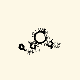 CO[C@]1(C)C[C@H](O[C@H]2[C@H](C)[C@@H](O[C@@H]3O[C@H](C)C[C@H](N(C)C(=O)OCc4ccccc4)[C@H]3O)[C@@](C)(OC)C[C@@H](C)C(=O)[C@H](C)[C@@H](O)[C@@]3(O)C(C)[C@H]3OC(=O)[C@@H]2C)O[C@@H](C)[C@@H]1OC(C)=O